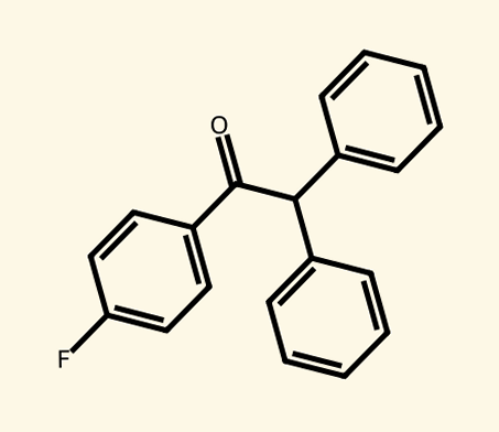 O=C(c1ccc(F)cc1)C(c1ccccc1)c1ccccc1